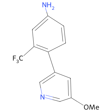 COc1cncc(-c2ccc(N)cc2C(F)(F)F)c1